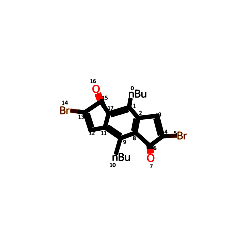 CCCCc1c2cc(Br)c(=O)c2c(CCCC)c2cc(Br)c(=O)c12